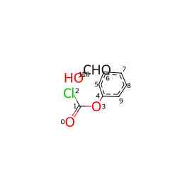 O=C(Cl)Oc1ccccc1.O=CO